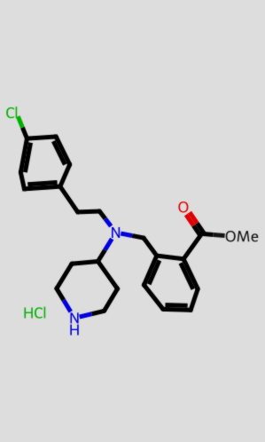 COC(=O)c1ccccc1CN(CCc1ccc(Cl)cc1)C1CCNCC1.Cl